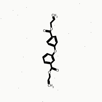 C=CCOC(=O)c1ccc(Oc2cccc(C(=O)OCC=C)c2)cc1